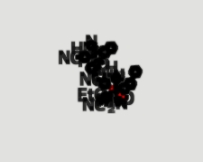 CCOC(=O)C1(C(N)=O)Cc2ccc(-c3ccccc3)cc2C[N+]1(C(Cc1ccc(C#N)cc1)c1cnc[nH]1)C(Cc1ccc(C#N)cc1)c1cnc[nH]1.Cc1cccc(NC(=O)[C@@H]2Cc3ccccc3CN2C(Cc2ccc(C#N)cc2)c2cnc[nH]2)c1C